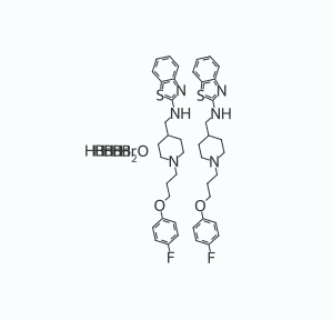 Br.Br.Br.Br.Fc1ccc(OCCCN2CCC(CNc3nc4ccccc4s3)CC2)cc1.Fc1ccc(OCCCN2CCC(CNc3nc4ccccc4s3)CC2)cc1.O